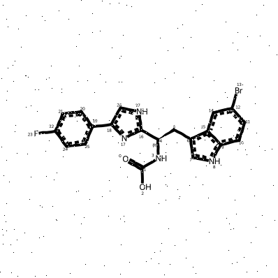 O=C(O)N[C@H](Cc1c[nH]c2ccc(Br)cc12)c1nc(-c2ccc(F)cc2)c[nH]1